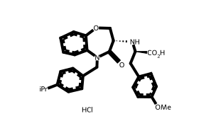 COc1ccc(C[C@@H](N[C@H]2COc3ccccc3N(Cc3ccc(C(C)C)cc3)C2=O)C(=O)O)cc1.Cl